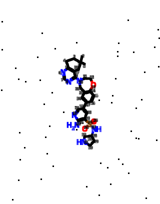 CC1(C)CCc2ncnc(N3CCOc4ccc(-c5cnc(N)c(S(=O)(=O)N[C@H]6CCNC6)c5)cc4C3)c2C1